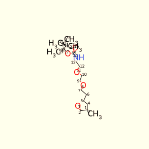 CC(C=O)CCCCOCCOCCNC(=O)OC(C)[Si](C)(C)C